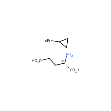 CCCC1CC1.N[C@@H](CCC(=O)O)C(=O)O